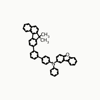 CC1(C)c2cc(-c3cccc(-c4ccc(N(c5ccccc5)c5ccc6oc7ccccc7c6c5)cc4)c3)ccc2-c2c1ccc1ccccc21